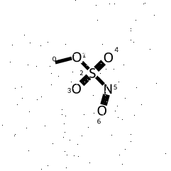 COS(=O)(=O)N=O